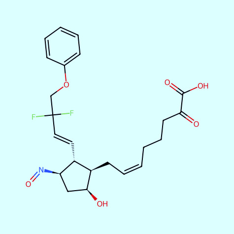 O=N[C@@H]1C[C@H](O)[C@H](C/C=C\CCCC(=O)C(=O)O)[C@H]1/C=C/C(F)(F)COc1ccccc1